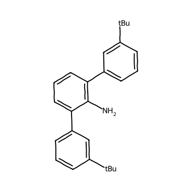 CC(C)(C)c1cccc(-c2cccc(-c3cccc(C(C)(C)C)c3)c2N)c1